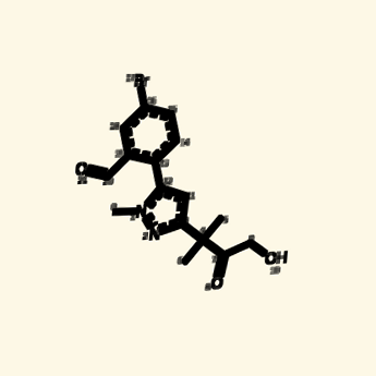 Cn1nc(C(C)(C)C(=O)CO)cc1-c1ccc(Br)cc1C=O